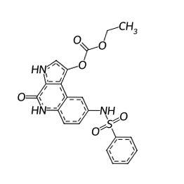 CCOC(=O)Oc1c[nH]c2c(=O)[nH]c3ccc(NS(=O)(=O)c4ccccc4)cc3c12